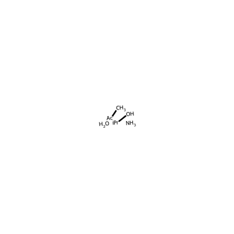 CC(C)=O.CC(C)O.N.O